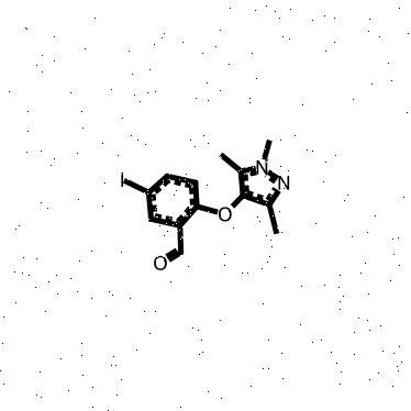 Cc1nn(C)c(C)c1Oc1ccc(I)cc1C=O